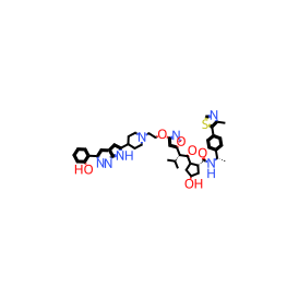 Cc1ncsc1-c1ccc([C@H](C)NC(=O)[C@@H]2C[C@@H](O)CC2C(=O)[C@@H](c2cc(OCCN3CCC(c4cc5cc(-c6ccccc6O)nnc5[nH]4)CC3)no2)C(C)C)cc1